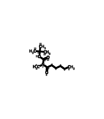 CCCCCC(=O)N(C)C(=O)OC(C)(C)C